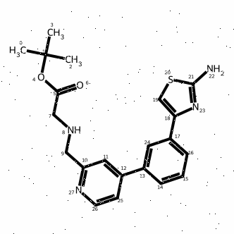 CC(C)(C)OC(=O)CNCc1cc(-c2cccc(-c3csc(N)n3)c2)ccn1